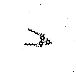 CCCCCCCCOc1cc2c(cc1C)B(c1c(C)cc(C)cc1C)c1cc(C)c(OCCCCCCCC)cc1-2